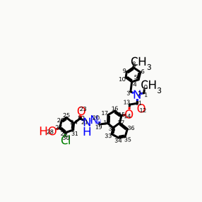 CCN(Cc1ccc(C)cc1)C(=O)COc1ccc(/C=N/NC(=O)c2ccc(O)c(Cl)c2)c2ccccc12